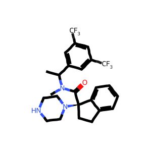 CC(c1cc(C(F)(F)F)cc(C(F)(F)F)c1)N(C)C(=O)[C@@]1(N2CCNCC2)CCc2ccccc21